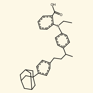 CCN(c1ccc(C(C)CCc2ccc(C34CC5CC(CC(C5)C3)C4)cc2)cc1)c1ccccc1C(=O)O